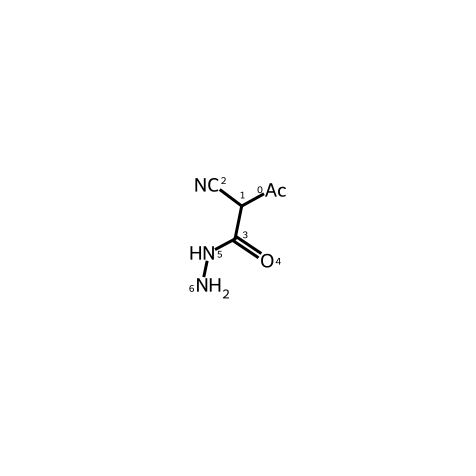 CC(=O)C(C#N)C(=O)NN